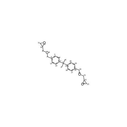 CC(C)(c1ccc(COCC2CO2)cc1)c1ccc(COCC2CO2)cc1